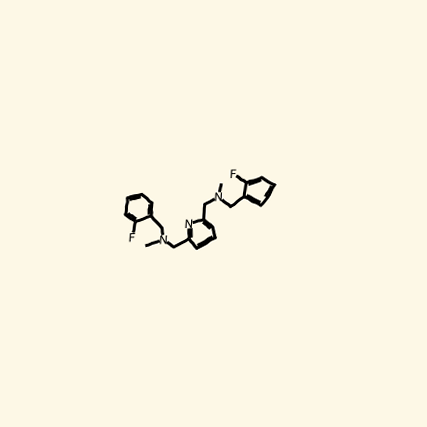 CN(Cc1cccc(CN(C)Cc2ccccc2F)n1)Cc1ccccc1F